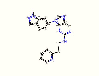 c1ccc(CCNc2ncc3ncn(-c4ccc5cn[nH]c5c4)c3n2)nc1